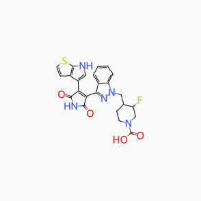 O=C1NC(=O)C(c2nn(CC3CCN(C(=O)O)CC3F)c3ccccc23)=C1c1c[nH]c2sccc12